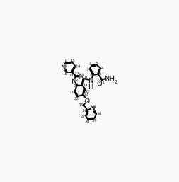 NC(=O)c1ccccc1Nc1nc(-c2cccnc2)nc2ccc(OCc3ccccn3)cc12